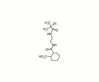 CCC(C)(C)C(=O)NCCNC(=O)C1CCCCC1C(=O)O